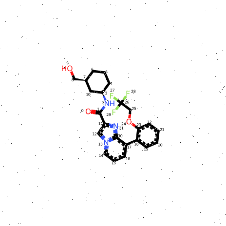 O=C(N[C@@H]1CCC[C@H](CO)C1)c1cn2cccc(-c3ccccc3OCC(F)(F)F)c2n1